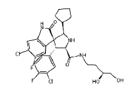 O=C(NCC[C@H](O)CO)[C@@H]1N[C@H](C2CCCC2)[C@]2(C(=O)Nc3cc(Cl)c(F)cc32)[C@H]1c1ccc(F)c(Cl)c1